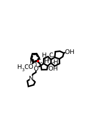 COc1ccccc1C1(OCCN2CCCC2)CC[C@@]2(O)[C@@H]3CCC4CC(O)CC[C@]4(C)[C@@H]3CC[C@]12C